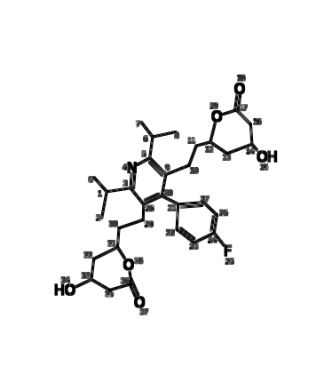 CC(C)c1nc(C(C)C)c(CCC2CC(O)CC(=O)O2)c(-c2ccc(F)cc2)c1CCC1CC(O)CC(=O)O1